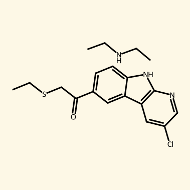 CCNCC.CCSCC(=O)c1ccc2[nH]c3ncc(Cl)cc3c2c1